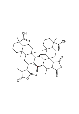 CC(C)C1C(C2C(=O)OC(=O)C2C)CC2C(C)(CCC3C(C)(C(=O)O)CCCC32C)C1OC1C(C(C)C)C(C)C2C(=O)OC(=O)C2C12CCC1C(C)(C(=O)O)CCCC1(C)C2C